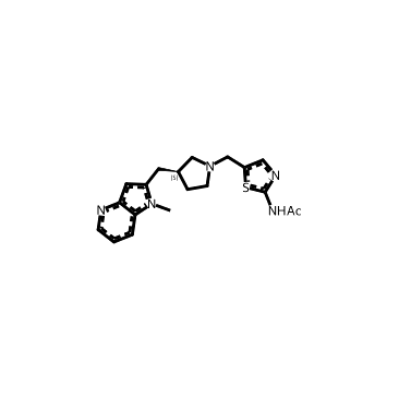 CC(=O)Nc1ncc(CN2CC[C@@H](Cc3cc4ncccc4n3C)C2)s1